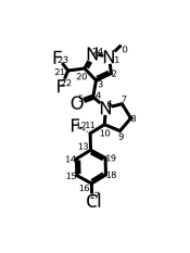 Cn1cc(C(=O)N2CCCC2[C@@H](F)c2ccc(Cl)cc2)c(C(F)F)n1